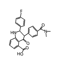 CN(C)C(=O)c1ccc(C2C(=O)c3c(cccc3C(=O)O)NC2c2ccc(F)cc2)cc1